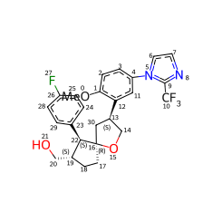 COc1ccc(-n2ccnc2C(F)(F)F)cc1[C@H]1CO[C@]2(CC[C@H](CO)[C@H]2c2ccc(F)cc2)C1